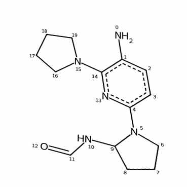 Nc1ccc(N2CCCC2NC=O)nc1N1CCCC1